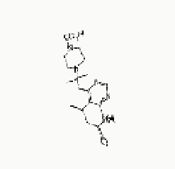 C[C@@H]1CC(=O)Nc2ncnc(CC(C)(C)N3CCN(C(=O)O)CC3)c21